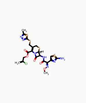 C=C(Cl)COC(=O)C1=C(CSc2nnc(C)s2)CS[C@@H]2C(NC(=O)/C(=N\OC)c3csc(N)n3)C(=O)N12